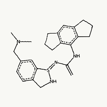 C=C(/N=S1\NCc2ccc(CN(C)C)cc21)Nc1c2c(cc3c1CCC3)CCC2